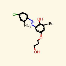 CC(C)(C)c1cc(OCCCO)cc(/N=N/c2ccc(Cl)cc2[N+](=O)[O-])c1O